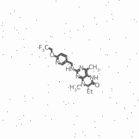 CC[C@H]1C(=O)Nc2c(C)nc(NCc3ccc(OCC(F)(F)F)nc3)nc2N1C